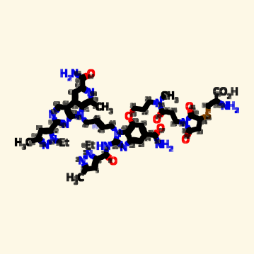 CCn1nc(C)cc1C(=O)Nc1nc2cc(C(N)=O)cc(OCCCN(C)C(=O)CCN3C(=O)CC(SC[C@H](N)C(=O)O)C3=O)c2n1C/C=C/Cn1c2nc(-c3cc(C)nn3CC)ncc2c2cc(C(N)=O)nc(C)c21